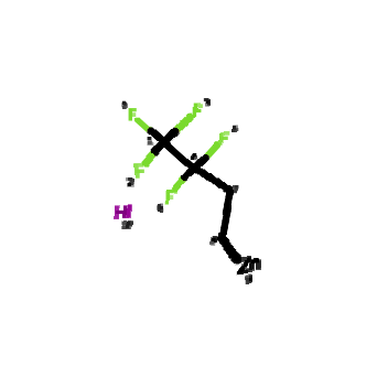 FC(F)(F)C(F)(F)C[CH2][Zn].I